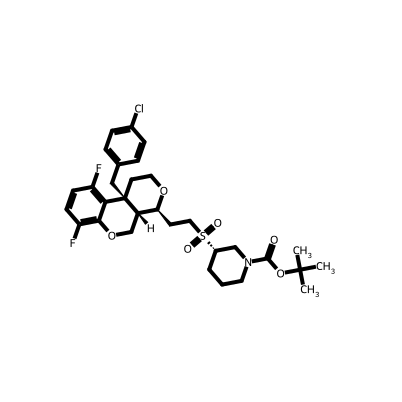 CC(C)(C)OC(=O)N1CCC[C@H](S(=O)(=O)CC[C@@H]2OCC[C@@]3(Cc4ccc(Cl)cc4)c4c(F)ccc(F)c4OC[C@@H]23)C1